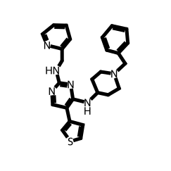 c1ccc(CN2CCC(Nc3nc(NCc4ccccn4)ncc3-c3ccsc3)CC2)cc1